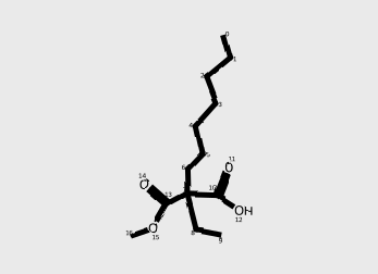 CCCCCCCC(CC)(C(=O)O)C(=O)OC